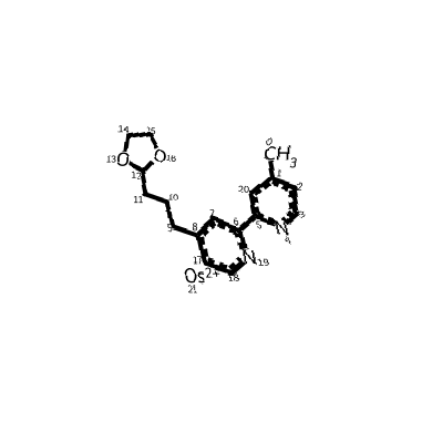 Cc1ccnc(-c2cc(CCCC3OCCO3)ccn2)c1.[Os+2]